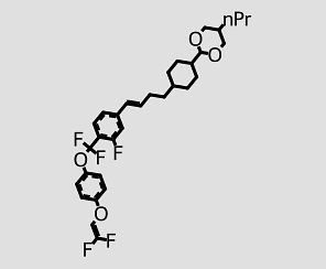 CCCC1COC(C2CCC(CC/C=C/c3ccc(C(F)(F)Oc4ccc(OC=C(F)F)cc4)c(F)c3)CC2)OC1